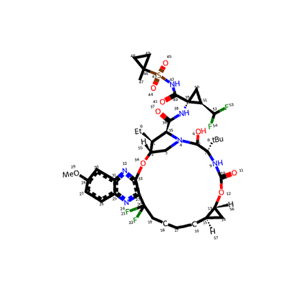 CC[C@@H]1[C@@H]2CN(C(O)[C@H](C(C)(C)C)NC(=O)O[C@@H]3C[C@H]3CCCCC(F)(F)c3nc4ccc(OC)cc4nc3O2)[C@@H]1C(=O)N[C@]1(C(=O)NS(=O)(=O)C2(C)CC2)C[C@H]1C(F)F